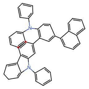 C1=c2c(n(-c3ccccc3)c3cc(-c4cc(-c5cccc6ccccc56)ccc4N(c4ccccc4)c4ccccc4)ccc23)=CCC1